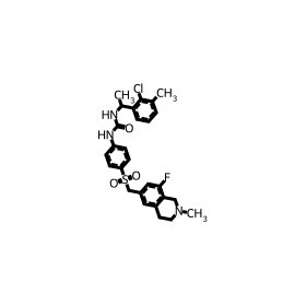 Cc1cccc(C(C)NC(=O)Nc2ccc(S(=O)(=O)Cc3cc(F)c4c(c3)CCN(C)C4)cc2)c1Cl